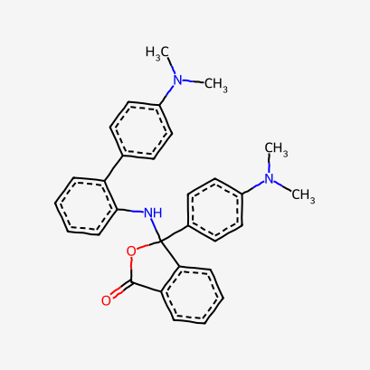 CN(C)c1ccc(-c2ccccc2NC2(c3ccc(N(C)C)cc3)OC(=O)c3ccccc32)cc1